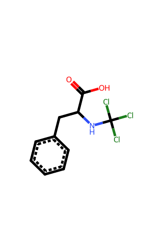 O=C(O)C(Cc1ccccc1)NC(Cl)(Cl)Cl